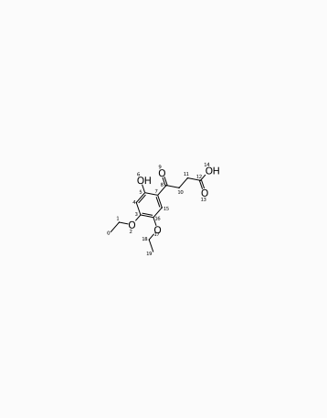 CCOc1cc(O)c(C(=O)CCC(=O)O)cc1OCC